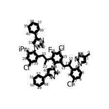 Cc1cn(-c2ccc(Cl)cc2C(C)Cc2cc(Cl)c(F)c(C(C)Cc3cc(Cl)cc(C(C)C)c3-n3cc(-c4ccccc4)nn3)c2-n2cc(-c3ccccc3)nn2)nn1